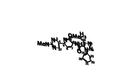 CNc1ncc(-c2ccc(NC(=O)c3c(C)nnn3-c3ccccc3)c(OC)n2)cn1